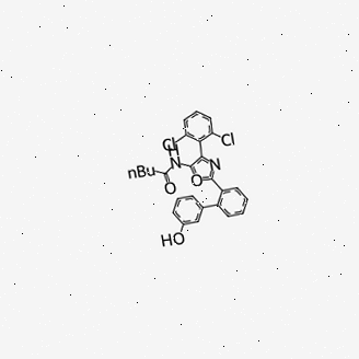 CCCCC(=O)Nc1oc(-c2ccccc2-c2cccc(O)c2)nc1-c1c(Cl)cccc1Cl